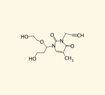 C#CCn1c(=O)c(C)cn(C(CCO)OCCO)c1=O